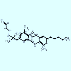 CCCCCc1cc(C)c2c(c1)C1Oc3c(C)cc(CC(C)(C)CCCN=O)cc3C(O2)O1